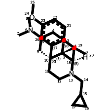 CC[C@]12OCC(N(C)C)C[C@@]13CCN(CC1CC1)[C@@H]2Cc1ccc(OC)cc13